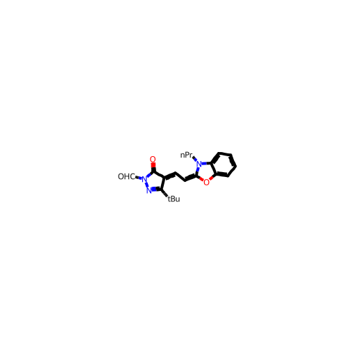 CCCN1/C(=C\C=C2\C(=O)N(C=O)N=C2C(C)(C)C)Oc2ccccc21